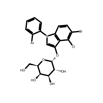 CC(=O)c1ccccc1-n1cc(O[C@H]2O[C@H](CO)[C@H](O)[C@H](O)[C@H]2O)c2c(Cl)c(Br)ccc21